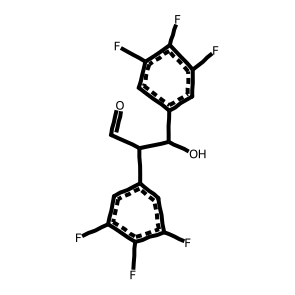 O=CC(c1cc(F)c(F)c(F)c1)C(O)c1cc(F)c(F)c(F)c1